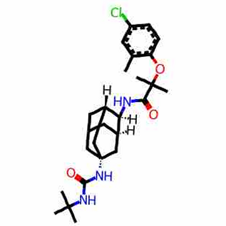 Cc1cc(Cl)ccc1OC(C)(C)C(=O)N[C@H]1[C@@H]2CC3C[C@H]1C[C@](NC(=O)NC(C)(C)C)(C3)C2